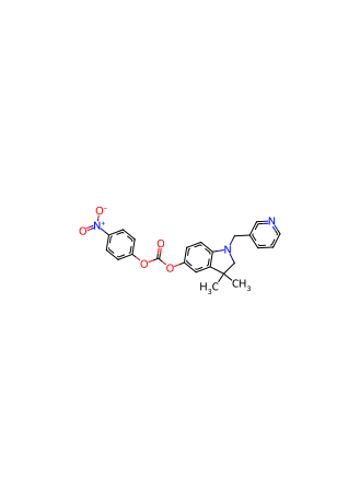 CC1(C)CN(Cc2cccnc2)c2ccc(OC(=O)Oc3ccc([N+](=O)[O-])cc3)cc21